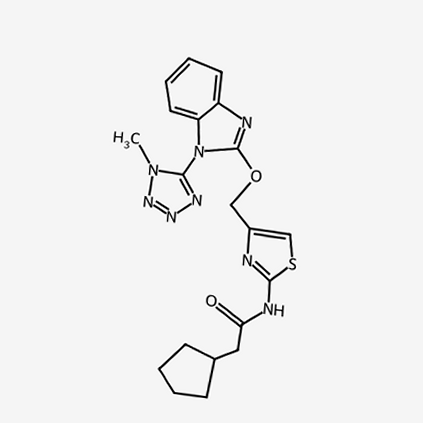 Cn1nnnc1-n1c(OCc2csc(NC(=O)CC3CCCC3)n2)nc2ccccc21